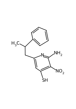 CC(Cc1cc(S)c([N+](=O)[O-])c(N)n1)c1ccccc1